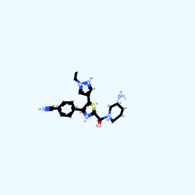 CCn1cc(-c2sc(C(=O)N3CCC[C@@H](N)C3)nc2-c2ccc(C#N)cc2)cn1